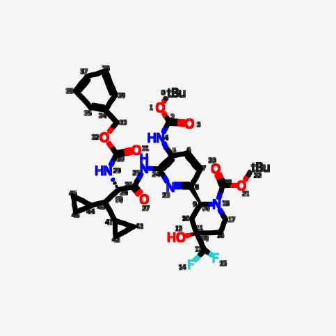 CC(C)(C)OC(=O)Nc1ccc([C@@H]2C[C@@](O)(C(F)F)CCN2C(=O)OC(C)(C)C)nc1NC(=O)[C@@H](NC(=O)OCc1ccccc1)C(C1CC1)C1CC1